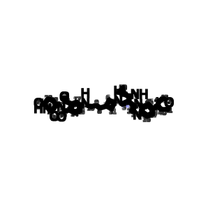 N=C(/C(=C\NC1CC(CCCNc2ccc3c(c2)C(=O)N(C2CCC(=O)NC2=O)C3=O)C1)c1cnc2ccc(C3CCOCC3)cc2n1)C1CC1